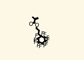 C=C(C)C(=O)OCCCC1(F)C(F)(F)C(F)(F)C(F)(F)C(F)(F)C1(F)F